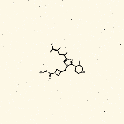 C/C(=C\C(C)=C(/C)F)c1cn(CC2CN(C(=O)OC(C)(C)C)C2)c([C@@H]2CCNC[C@@H]2F)n1